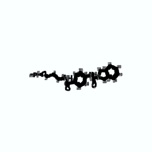 CCCOCCCNC(=O)c1ccc(NC(=O)N2Cc3ccccc3C2)cc1